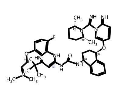 C[C@@H]1CCC[C@H](C)N1C(=N)n1cc(O[C@@H]2CC[C@H](NC(=O)N/C(=C/C(=N)C(C)(C)C)Nc3cc(OCCN(C)C)ccc3F)c3ccccc32)ccc1=N